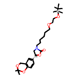 CC1(C)OCc2cc([C@@H]3CN(CCCCCCOCCO[Si](C)(C)C(C)(C)C)C(=O)O3)ccc2O1